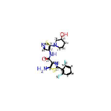 Nc1sc(-c2c(F)cccc2F)nc1C(=O)Nc1cnsc1N1CCCC(O)C1